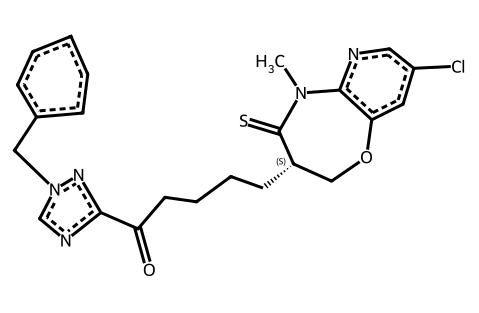 CN1C(=S)[C@@H](CCCCC(=O)c2ncn(Cc3ccccc3)n2)COc2cc(Cl)cnc21